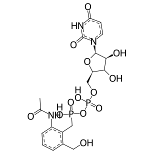 CC(=O)Nc1cccc(CO)c1CP(=O)(O)OP(=O)(O)OC[C@H]1O[C@@H](n2ccc(=O)[nH]c2=O)[C@@H](O)C1O